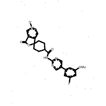 COc1cc(F)cc(-c2cnc(NC(=O)C3CCC4(CC3)OC(=O)c3c[n+]([O-])ccc34)nc2)c1